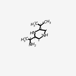 CC(C)C1CNCC(C(C)N)N1